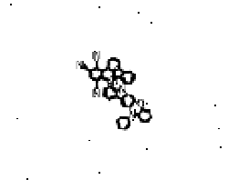 N#Cc1cc(C#N)c(C#N)c(-c2cccc3c2C(=O)c2c-3cccc2-n2c3ccccc3c3cc4c(cc32)Oc2ccccc2N4c2ccccc2)c1C#N